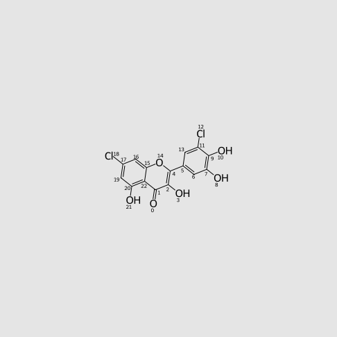 O=c1c(O)c(-c2cc(O)c(O)c(Cl)c2)oc2cc(Cl)cc(O)c12